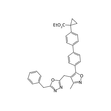 CCOC(=O)C1(c2ccc(-c3ccc(-c4onc(C)c4Cc4nnc(Cc5ccccc5)o4)cc3)cc2)CC1